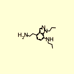 CCCNc1ccc(CCN)c2cnn(CCC)c12